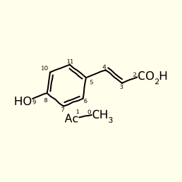 CC(C)=O.O=C(O)C=Cc1ccc(O)cc1